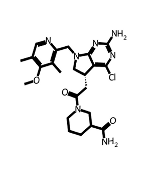 COc1c(C)cnc(CN2C[C@@H](CC(=O)N3CCCC(C(N)=O)C3)c3c(Cl)nc(N)nc32)c1C